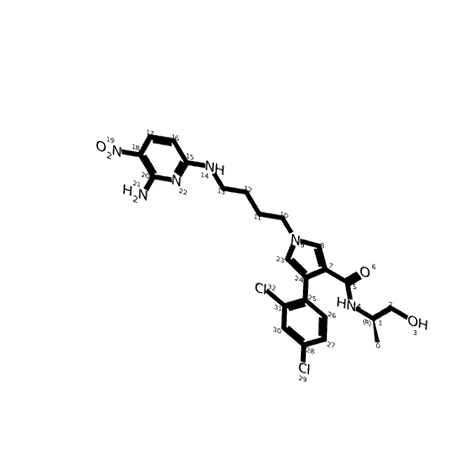 C[C@H](CO)NC(=O)c1cn(CCCCNc2ccc([N+](=O)[O-])c(N)n2)cc1-c1ccc(Cl)cc1Cl